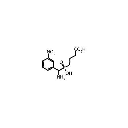 NC(c1cccc([N+](=O)[O-])c1)P(=O)(O)CCCC(=O)O